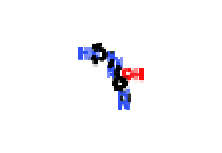 CN(c1cnc(-c2ccc(-n3ccnc3)cc2O)cn1)C1CC(C)(C)NC(C)(C)C1